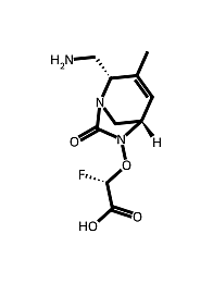 CC1=C[C@H]2CN(C(=O)N2O[C@@H](F)C(=O)O)[C@@H]1CN